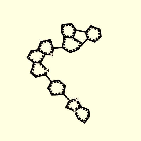 c1ccc2c(c1)-c1cccc3c(-c4ccc5ccc6ccc(-c7ccc(-c8cn9ccccc9n8)cc7)nc6c5n4)ccc-2c13